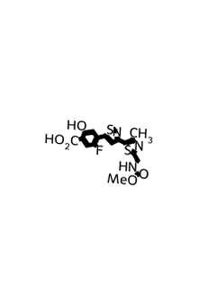 COC(=O)NCc1nc(C)c(-c2cc(-c3cc(O)c(C(=O)O)cc3F)sn2)s1